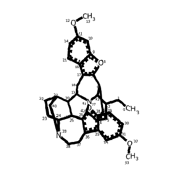 CCC1CC2CC3c4oc5cc(OC)ccc5c4CC(C4C5CCC6C4c4oc7ccc(OC)cc7c4CCN6C5)N(C2)C13